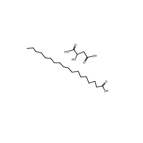 CCCCCCCCCCCCCCCCCC(=O)O.O=C(O)CC(O)C(=O)O